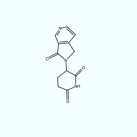 O=C1CCC(N2Cc3ccncc3C2=O)C(=O)N1